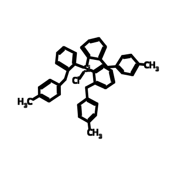 Cc1ccc(Cc2ccccc2[Si](Cl)(c2ccccc2Cc2ccc(C)cc2)c2ccccc2Cc2ccc(C)cc2)cc1